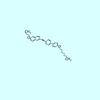 CCCCCCCOc1ccc(-c2ccc(C#Cc3ccc4cc(OCCC)ccc4c3)cc2)cc1